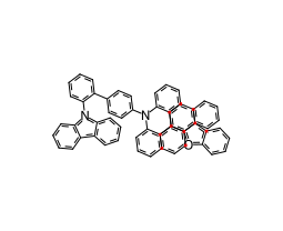 c1ccc(-c2ccccc2-c2ccccc2N(c2ccc(-c3ccccc3-n3c4ccccc4c4ccccc43)cc2)c2ccccc2-c2cccc3c2oc2ccccc23)cc1